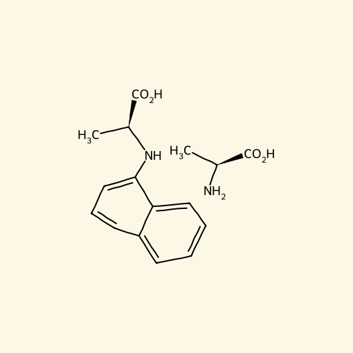 C[C@H](N)C(=O)O.C[C@H](Nc1cccc2ccccc12)C(=O)O